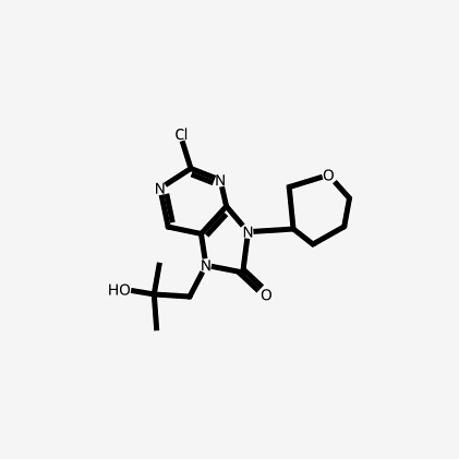 CC(C)(O)Cn1c(=O)n(C2CCCOC2)c2nc(Cl)ncc21